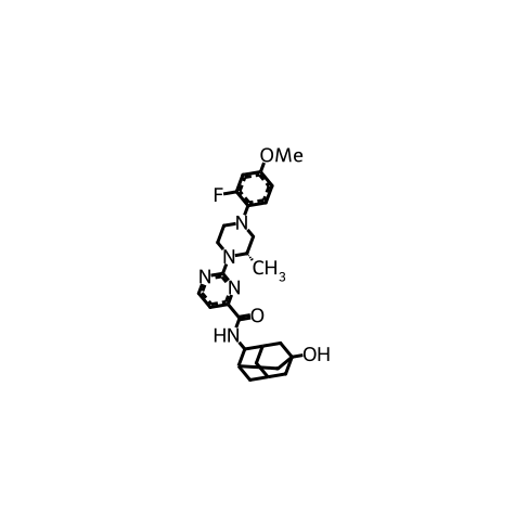 COc1ccc(N2CCN(c3nccc(C(=O)NC4C5CC6CC4CC(O)(C6)C5)n3)[C@@H](C)C2)c(F)c1